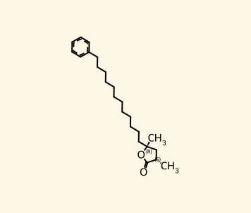 C[C@H]1C[C@@](C)(CCCCCCCCCCCCc2ccccc2)OC1=O